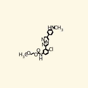 CNc1ccc(-c2cnc3nc(-c4cc(NC(=O)OCCOC)ccc4Cl)cn3c2)cc1